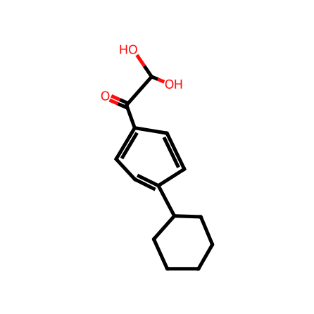 O=C(c1ccc(C2CCCCC2)cc1)C(O)O